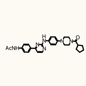 CC(=O)Nc1ccc(-c2ccnc(Nc3ccc(N4CCN(C(=O)C5CCCC5)CC4)cc3)n2)cc1